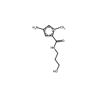 Cn1cc(N)cc1C(=O)NCCCO